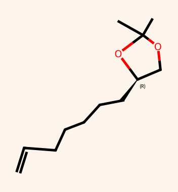 C=CCCCCC[C@@H]1COC(C)(C)O1